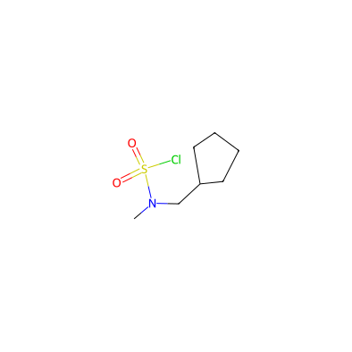 CN(CC1CCCC1)S(=O)(=O)Cl